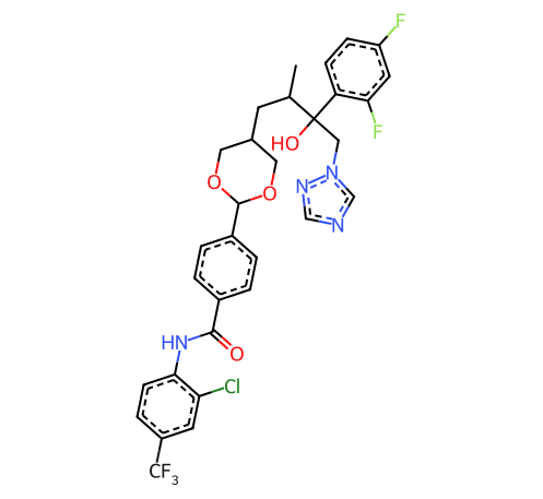 CC(CC1COC(c2ccc(C(=O)Nc3ccc(C(F)(F)F)cc3Cl)cc2)OC1)C(O)(Cn1cncn1)c1ccc(F)cc1F